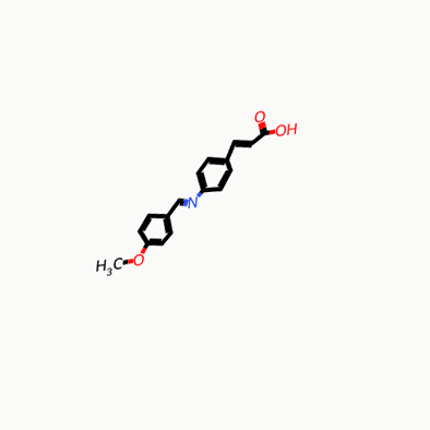 COc1ccc(C=Nc2ccc(C=CC(=O)O)cc2)cc1